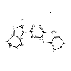 COC(=O)[C@H](CC1=CCCC=C1)NC(=O)c1c(C)nc2ccccn12